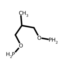 CC(COP)COP